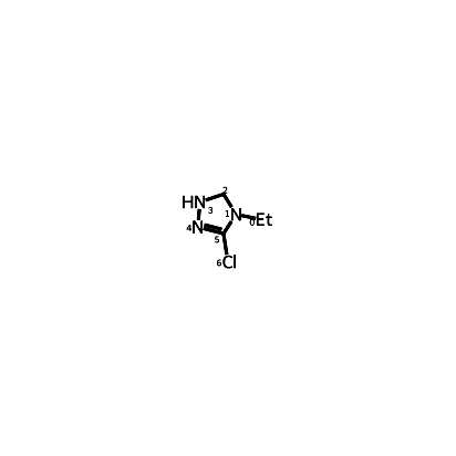 CCN1CNN=C1Cl